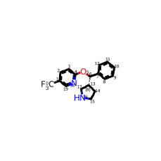 FC(F)(F)c1ccc(OC(c2ccccc2)[C@@H]2CCNC2)nc1